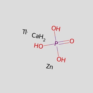 O=P(O)(O)O.[CaH2].[Tl].[Zn]